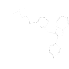 CN(C)CCNc1cncc(Cc2c(-c3ccc(Cl)cc3)nc3ccccn23)n1